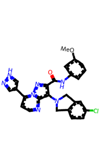 COc1cccc(NC(=O)c2nn3c(-c4cn[nH]c4)ccnc3c2N2Cc3ccc(Cl)cc3C2)c1